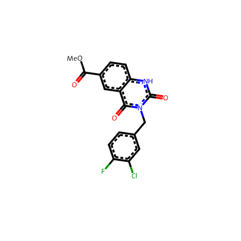 COC(=O)c1ccc2[nH]c(=O)n(Cc3ccc(F)c(Cl)c3)c(=O)c2c1